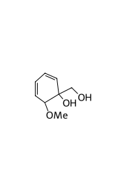 COC1C=CC=CC1(O)CO